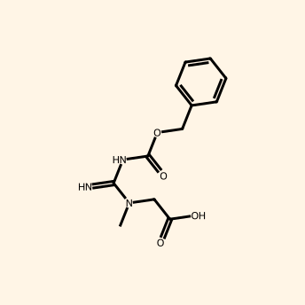 CN(CC(=O)O)C(=N)NC(=O)OCc1ccccc1